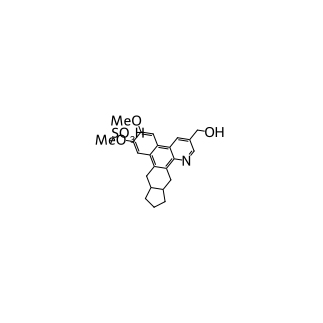 COc1cc2c3c(c4ncc(CO)cc4c2cc1OC)CC1CCCC1C3.CS(=O)(=O)O